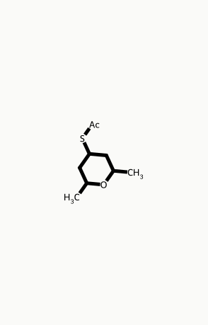 CC(=O)SC1CC(C)OC(C)C1